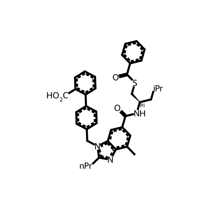 CCCc1nc2c(C)cc(C(=O)N[C@@H](CSC(=O)c3ccccc3)CC(C)C)cc2n1Cc1ccc(-c2ccccc2C(=O)O)cc1